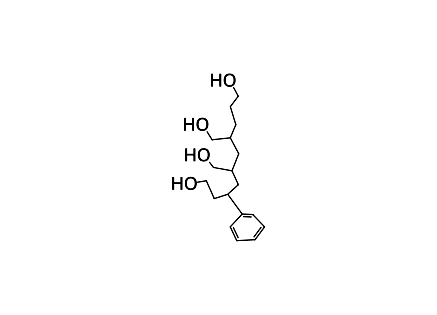 OCCCC(CO)CC(CO)CC(CCO)c1ccccc1